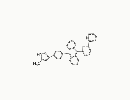 Cc1cc(-c2ccc(-c3c4ccccc4c(-c4cccc(-c5ccccn5)c4)c4ccccc34)cc2)c[nH]1